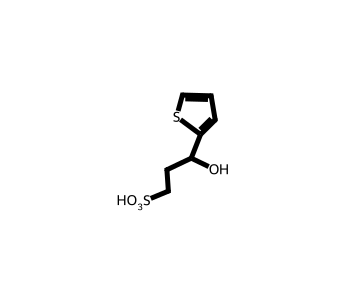 O=S(=O)(O)CCC(O)c1cccs1